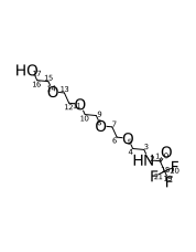 O=C(NCCOCCOCCOCCOCCO)C(F)(F)F